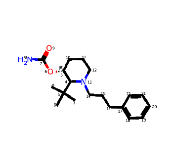 CC(C)(C)C1[C@H](OC(N)=O)CCCN1CCCc1ccccc1